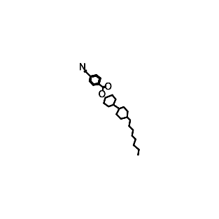 CCCCCCCCC1CCC(C2CCC(OC(=O)c3ccc(C#N)cc3)CC2)CC1